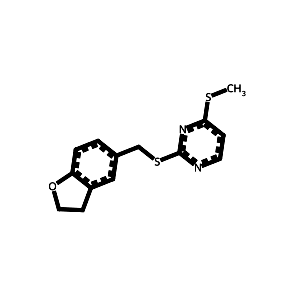 CSc1ccnc(SCc2ccc3c(c2)CCO3)n1